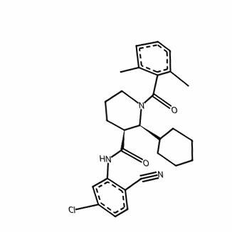 Cc1cccc(C)c1C(=O)N1CCC[C@H](C(=O)Nc2cc(Cl)ccc2C#N)[C@@H]1C1CCCCC1